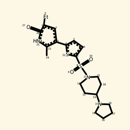 CCc1cc(-c2ccc(S(=O)(=O)N3CCC(N4CCCC4)CC3)s2)c(C)[nH]c1=O